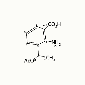 CC(=O)OC(C)c1cccc(C(=O)O)c1N